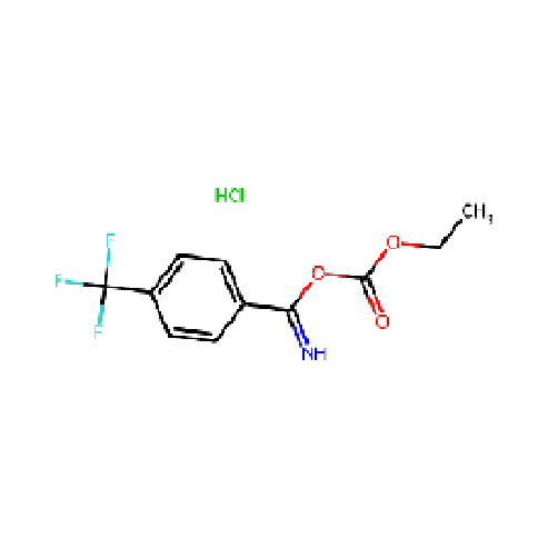 CCOC(=O)OC(=N)c1ccc(C(F)(F)F)cc1.Cl